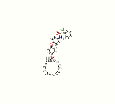 O=C(CCl)N(Cc1ccccc1)c1ccc(Oc2ccc(OBC3CCCCCCCCCCCCC3)cc2)cc1